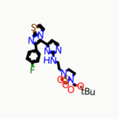 CC(C)(C)OC(=O)N1CCN(CCNc2nccc(-c3c(-c4ccc(F)cc4)nc4sccn34)n2)S1(=O)=O